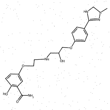 CN1CNC(c2ccc(OCC(O)CNCCOc3ccc(O)c(C(N)=O)c3)cc2)=N1